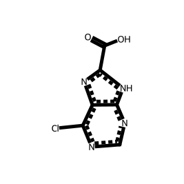 O=C(O)c1nc2c(Cl)ncnc2[nH]1